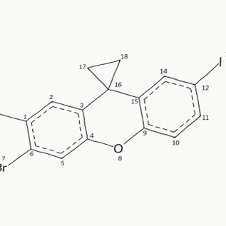 Cc1cc2c(cc1Br)Oc1ccc(I)cc1C21CC1